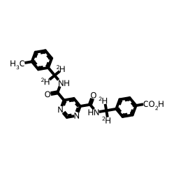 [2H]C([2H])(NC(=O)c1cc(C(=O)NC([2H])([2H])c2cccc(C)c2)ncn1)c1ccc(C(=O)O)cc1